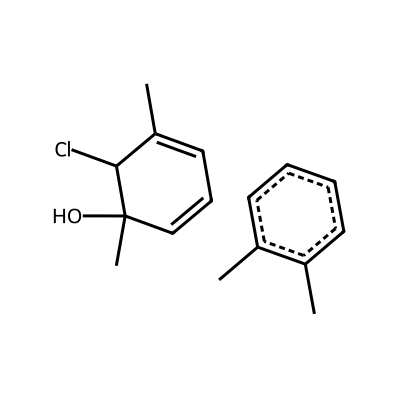 CC1=CC=CC(C)(O)C1Cl.Cc1ccccc1C